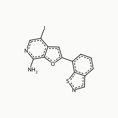 Nc1ncc(I)c2cc(-c3cccc4cnsc34)oc12